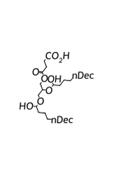 CCCCCCCCCCCCCC(O)OCC(COC(=O)CCC(=O)O)OC(O)CCCCCCCCCCCCC